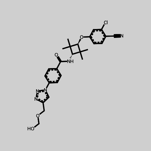 CC1(C)[C@H](NC(=O)c2ccc(-n3cc(COCO)nn3)cc2)C(C)(C)[C@H]1Oc1ccc(C#N)c(Cl)c1